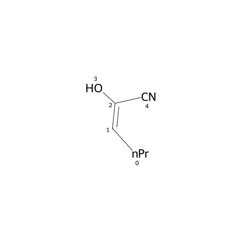 CCC/C=C(/O)C#N